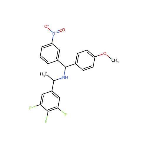 COc1ccc(C(NC(C)c2cc(F)c(F)c(F)c2)c2cccc([N+](=O)[O-])c2)cc1